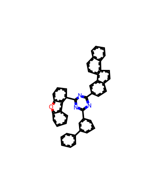 c1ccc(-c2cccc(-c3nc(-c4ccc5ccc6c7ccccc7ccc6c5c4)nc(-c4cccc5oc6ccccc6c45)n3)c2)cc1